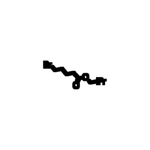 CC(C)COC(=O)CCCCBr